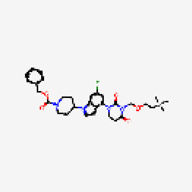 C[Si](C)(C)CCOCN1C(=O)CCN(c2cc(F)cc3c2ccn3C2CCN(C(=O)OCc3ccccc3)CC2)C1=O